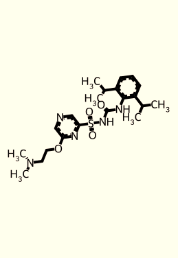 CC(C)c1cccc(C(C)C)c1NC(=O)NS(=O)(=O)c1cncc(OCCN(C)C)n1